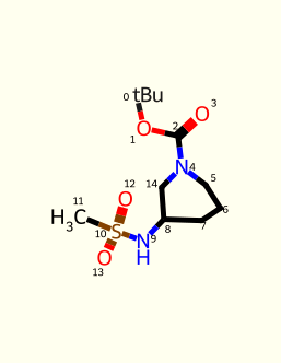 CC(C)(C)OC(=O)N1CCCC(NS(C)(=O)=O)C1